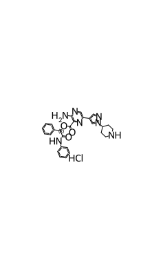 Cl.Nc1ncc(-c2cnn(C3CCNCC3)c2)nc1C(=O)O[C@@H](C(=O)Nc1ccccc1)c1ccccc1